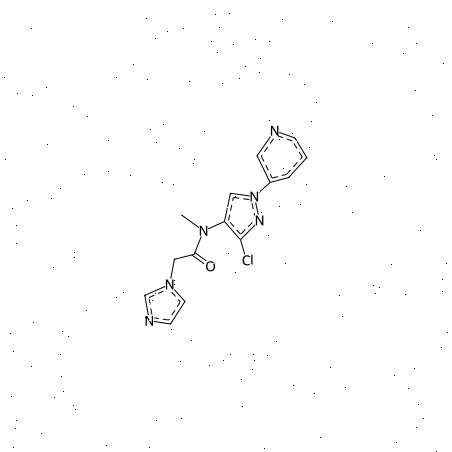 CN(C(=O)Cn1ccnc1)c1cn(-c2cccnc2)nc1Cl